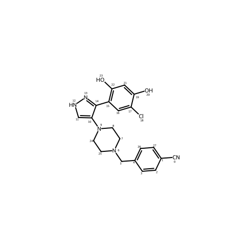 N#Cc1ccc(CN2CCN(c3c[nH]nc3-c3cc(Cl)c(O)cc3O)CC2)cc1